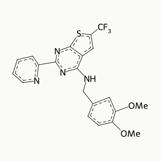 COc1ccc(CNc2nc(-c3ccccn3)nc3sc(C(F)(F)F)cc23)cc1OC